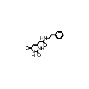 O=C(Cc1cc(=O)[nH]c(=O)[nH]1)NCCc1ccccc1